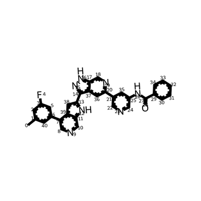 Cc1cc(F)cc(-c2cncc3[nH]c(-c4n[nH]c5cnc(-c6cncc(NC(=O)c7ccccc7)c6)cc45)cc23)c1